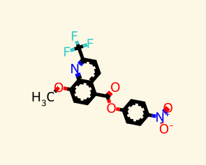 COc1ccc(C(=O)Oc2ccc([N+](=O)[O-])cc2)c2ccc(C(F)(F)F)nc12